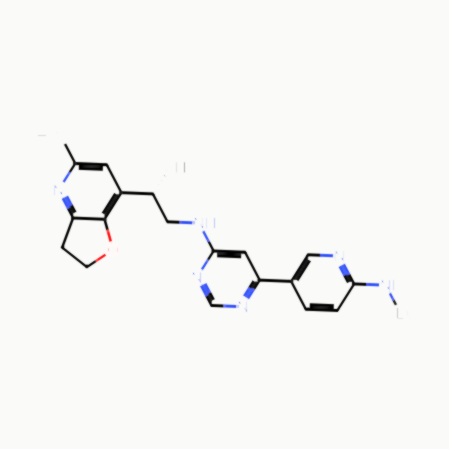 CCNc1ccc(-c2cc(NC[C@@H](C)c3cc(C)nc4c3OCC4)ncn2)cn1